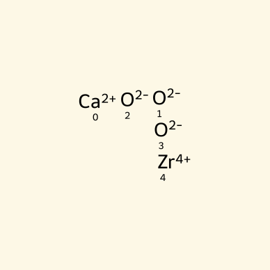 [Ca+2].[O-2].[O-2].[O-2].[Zr+4]